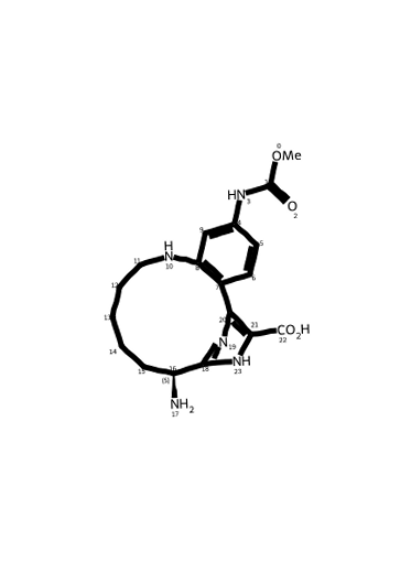 COC(=O)Nc1ccc2c(c1)NCCCCC[C@H](N)c1nc-2c(C(=O)O)[nH]1